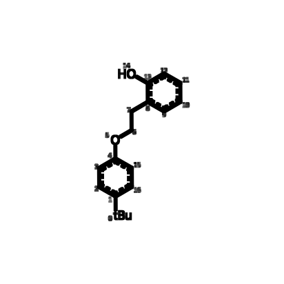 CC(C)(C)c1ccc(OCCc2ccccc2O)cc1